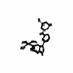 CC(C)(O)c1cn2c(-c3cccc(N[C@H]4CNC[C@@H](F)C4)n3)cnc2cn1